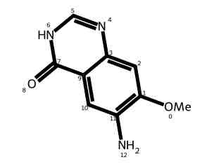 COc1cc2nc[nH]c(=O)c2cc1N